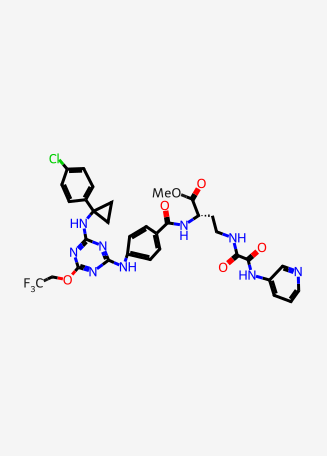 COC(=O)[C@H](CCNC(=O)C(=O)Nc1cccnc1)NC(=O)c1ccc(Nc2nc(NC3(c4ccc(Cl)cc4)CC3)nc(OCC(F)(F)F)n2)cc1